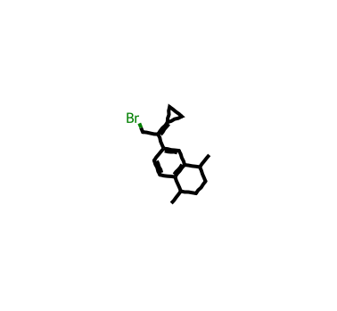 CC1CCC(C)c2cc(C(CBr)=C3CC3)ccc21